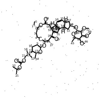 CC[C@H]1CCC[C@H](OC2CCC([N+](C)(C)COC(=O)OC(C)C)C(C)O2)[C@@H](C)C(=O)C2=C[C@@H]3[C@@H](C=C[C@@H]4C[C@@H](OC5OC(C)C(OC)C(OC)C5OC)C[C@@H]34)[C@@H]2CC(=O)O1